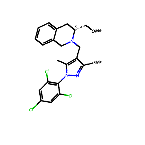 COC[C@H]1Cc2ccccc2CN1Cc1c(SC)nn(-c2c(Cl)cc(Cl)cc2Cl)c1C